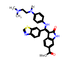 COC(=O)c1ccc2c(c1)NC(=O)/C2=C(\Nc1ccc(N(CCN(C)C)C(C)=O)cc1)c1ccc2ncsc2c1